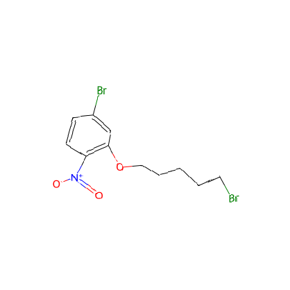 O=[N+]([O-])c1ccc(Br)cc1OCCCCCBr